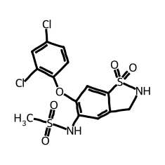 CS(=O)(=O)Nc1cc2c(cc1Oc1ccc(Cl)cc1Cl)S(=O)(=O)NC2